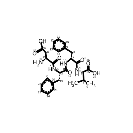 CC(C)[C@H](NC(=O)[C@H](Cc1ccccc1)NC(=O)[C@H](Cc1ccccc1)NC(=O)[C@@H](N)CC(=O)O)C(=O)O